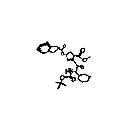 COC(=O)[C@@H]1C[C@@H](OC(=O)N2Cc3ccccc3C2)CC1C(=O)[C@@H](NC(=O)OC(C)(C)C)C1CCCCC1